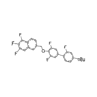 CCCCc1ccc(-c2cc(F)c(OCc3ccc4c(F)c(F)c(F)cc4c3)c(F)c2)c(F)c1